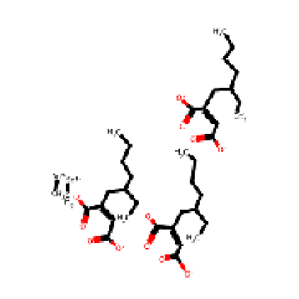 CCCCC(CC)CC(=CC(=O)[O-])C(=O)[O-].CCCCC(CC)CC(=CC(=O)[O-])C(=O)[O-].CCCCC(CC)CC(=CC(=O)[O-])C(=O)[O-].[CH3][Sn+3].[CH3][Sn+3]